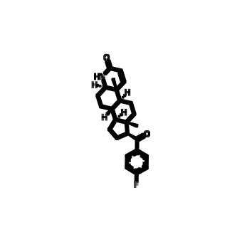 C[C@]12C=CC(=O)N[C@@H]1CC[C@@H]1[C@@H]2CC[C@]2(C)[C@@H](C(=O)c3ccc(F)cc3)CC[C@@H]12